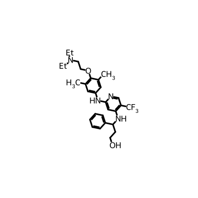 CCN(CC)CCOc1c(C)cc(Nc2cc(NC(CCO)c3ccccc3)c(C(F)(F)F)cn2)cc1C